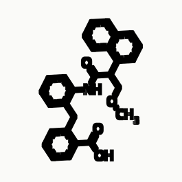 COCC(C(=O)Nc1ccccc1Cc1ccccc1C(=O)O)c1cccc2ccccc12